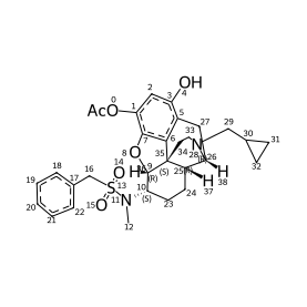 CC(=O)Oc1cc(O)c2c3c1O[C@H]1[C@@H](N(C)S(=O)(=O)Cc4ccccc4)CC[C@H]4[C@@H](C2)N(CC2CC2)CC[C@@]341